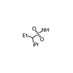 CCC(C(C)C)S([NH])(=O)=O